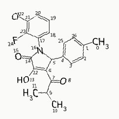 Cc1ccc(C2C(C(=O)C(C)C)=C(O)C(=O)N2c2cccc(Cl)c2F)cc1